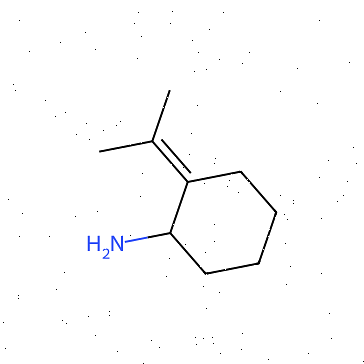 CC(C)=C1CCCCC1N